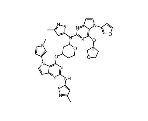 Cc1cc(Nc2nc(OC3CCOC(N(c4nc(O[C@H]5CCOC5)c5c(ccn5-c5ccoc5)n4)c4cc(C)ns4)C3)c3c(ccn3-c3ccn(C)c3)n2)sn1